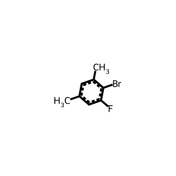 Cc1cc(C)c(Br)c(F)c1